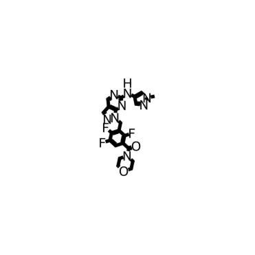 Cn1cc(Nc2ncc3cnn(Cc4c(F)c(F)cc(C(=O)N5CCOCC5)c4F)c3n2)cn1